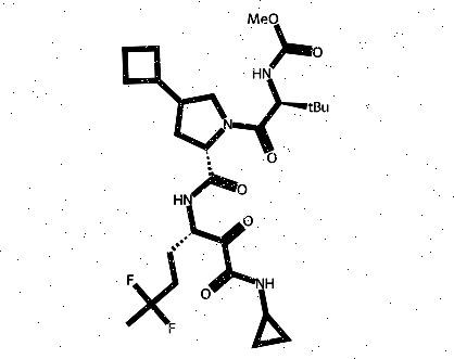 COC(=O)N[C@H](C(=O)N1CC(C2CCC2)C[C@H]1C(=O)N[C@@H](CCC(C)(F)F)C(=O)C(=O)NC1CC1)C(C)(C)C